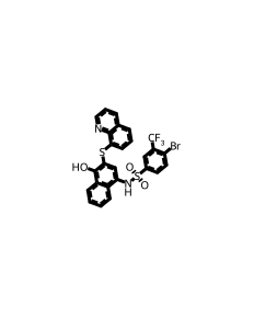 O=S(=O)(Nc1cc(Sc2cccc3cccnc23)c(O)c2ccccc12)c1ccc(Br)c(C(F)(F)F)c1